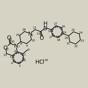 Cc1cccc2c1N(C1CCN(CC(=O)Nc3ccc(C4CCCCC4)cc3)CC1)C(=O)OC2.Cl